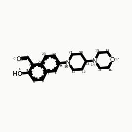 O=Cc1c(O)ccc2cc(N3CCC(N4CCOCC4)CC3)ccc12